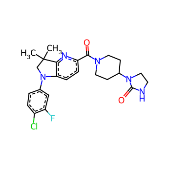 CC1(C)CN(c2ccc(Cl)c(F)c2)c2ccc(C(=O)N3CCC(N4CCNC4=O)CC3)nc21